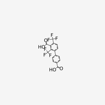 O=C(O)c1ccc(-c2ccc(C(F)(F)F)c(C(=O)O)c2C(F)(F)F)cc1